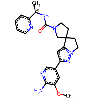 C[C@@H](NC(=O)N1CCC2(CCn3nc(-c4cnc(N)c(OC(F)(F)F)c4)cc32)C1)c1ccccn1